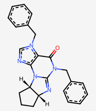 O=C1c2c(ncn2Cc2ccccc2)N2C(=N[C@@H]3CCC[C@@H]32)N1Cc1ccccc1